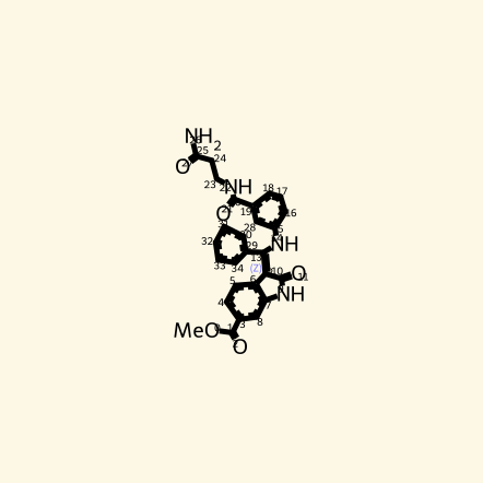 COC(=O)c1ccc2c(c1)NC(=O)/C2=C(\Nc1cccc(C(=O)NCCC(N)=O)c1)c1ccccc1